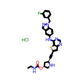 CCNC(=O)O[C@H]1CN[C@H](C#Cc2cc3ncnc(Nc4ccc5c(cnn5Cc5cccc(F)c5)c4)c3s2)C1.Cl